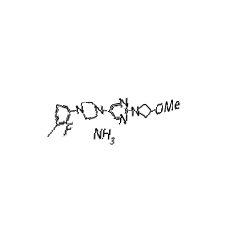 COC1CN(c2ncc(N3CCN(c4cccc(C)c4F)CC3)cn2)C1.N